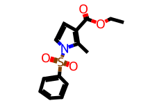 CCOC(=O)c1ccn(S(=O)(=O)c2ccccc2)c1C